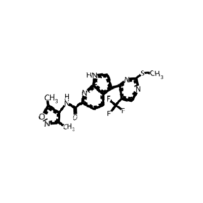 CSc1ncc(C(F)(F)F)c(-c2c[nH]c3nc(C(=O)Nc4c(C)noc4C)ccc23)n1